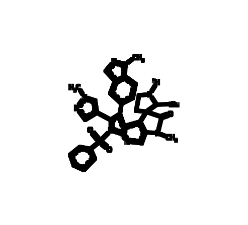 [2H]N1CCC2(C(=O)N(C)c3cnc4c(c(-c5ccc6c(cnn6C)c5)c(-c5cnn(C)c5)n4S(=O)(=O)c4ccccc4)c32)C1C(C)(C)C